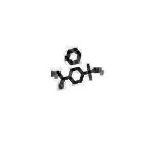 CC(C)(N)C1CCC(C(N)=O)CC1.c1ccncc1